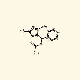 CCCCCn1nc(C(F)(F)F)cc1C(OC(N)=O)c1ccccc1